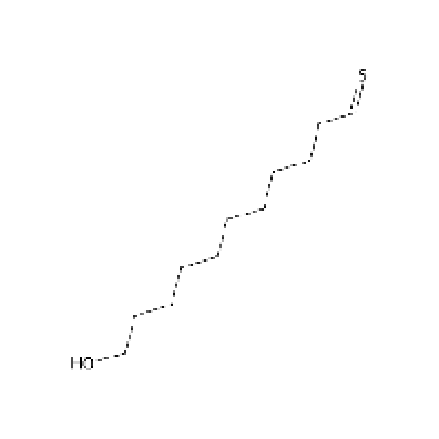 OCCCCCCCCCCC=S